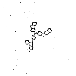 CC1C=Cc2cc(-c3ccc(N(c4ccc(-c5ccc6ccccc6c5)cc4)c4ccc5sc6ccccc6c5c4)cc3)c3ccccc3c2C1